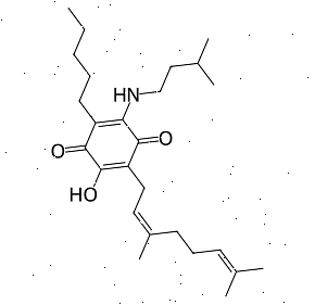 CCCCCC1=C(NCCC(C)C)C(=O)C(CC=C(C)CCC=C(C)C)=C(O)C1=O